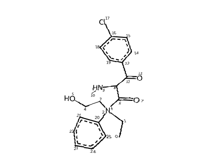 CC[N+](CCO)(C(=O)C(NC)C(=O)c1ccc(Cl)cc1)c1ccccc1